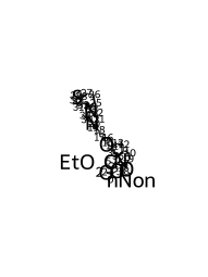 CCCCCCCCCC(=O)OC(C(=O)OCC)n1c(=O)ccc2ccc(OCCCCN3CCN(c4cccc5sccc45)CC3)cc21